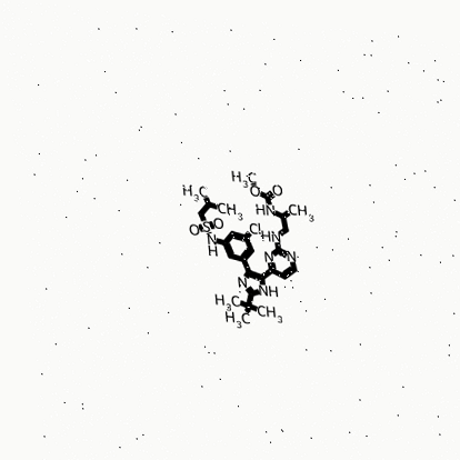 COC(=O)NC(C)CNc1nccc(-c2[nH]c(C(C)(C)C)nc2-c2cc(Cl)cc(NS(=O)(=O)CC(C)C)c2)n1